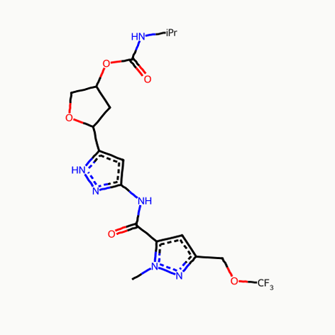 CC(C)NC(=O)OC1COC(c2cc(NC(=O)c3cc(COC(F)(F)F)nn3C)n[nH]2)C1